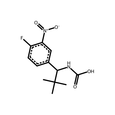 CC(C)(C)C(NC(=O)O)c1ccc(F)c([N+](=O)[O-])c1